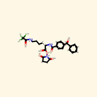 O=C(N[C@@H](CCCCNC(=O)C(F)(F)F)C(=O)ON1C(=O)CCC1=O)c1ccc(C(=O)c2ccccc2)cc1